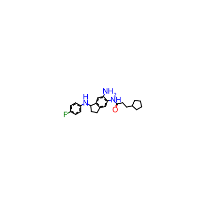 Nc1cc2c(cc1NC(=O)CCC1CCCC1)CCC2Nc1ccc(F)cc1